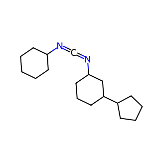 C(=NC1CCCCC1)=NC1CCCC(C2CCCC2)C1